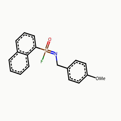 COc1ccc(CN=S(=O)(F)c2cccc3ccccc23)cc1